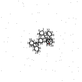 c1ccc([Si](c2ccccc2)(c2ccc(-n3c4ccccc4c4ccccc43)cc2)c2ccccc2-c2ccccn2)cc1